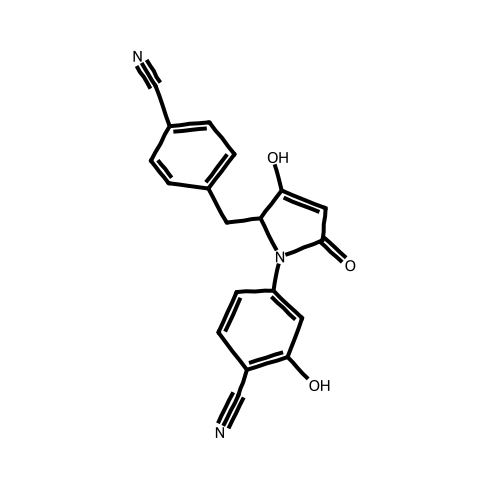 N#Cc1ccc(CC2C(O)=CC(=O)N2c2ccc(C#N)c(O)c2)cc1